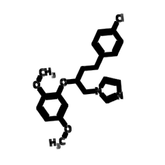 COc1ccc(OC)c(OC(CCc2ccc(Cl)cc2)Cn2ccnc2)c1